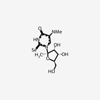 CNc1cn([C@]2(C)O[C@H](CO)[C@@H](O)[C@H]2O)c(=[Se])[nH]c1=O